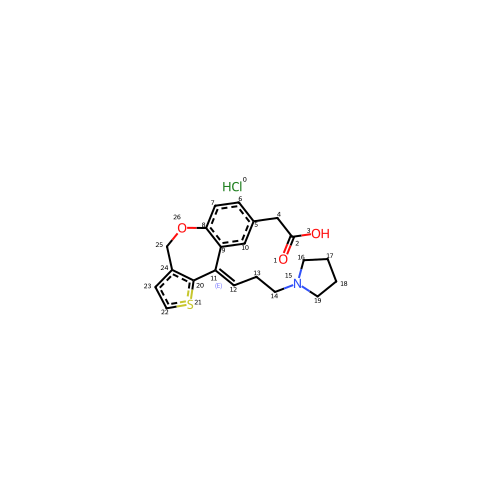 Cl.O=C(O)Cc1ccc2c(c1)/C(=C\CCN1CCCC1)c1sccc1CO2